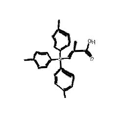 CC(=C[Si](c1ccc(C)cc1)(c1ccc(C)cc1)c1ccc(C)cc1)C(=O)O